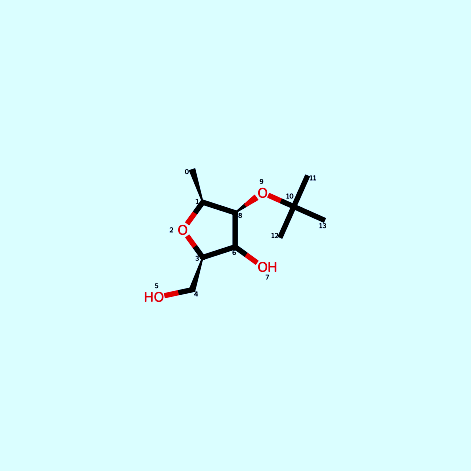 C[C@@H]1O[C@H](CO)C(O)[C@@H]1OC(C)(C)C